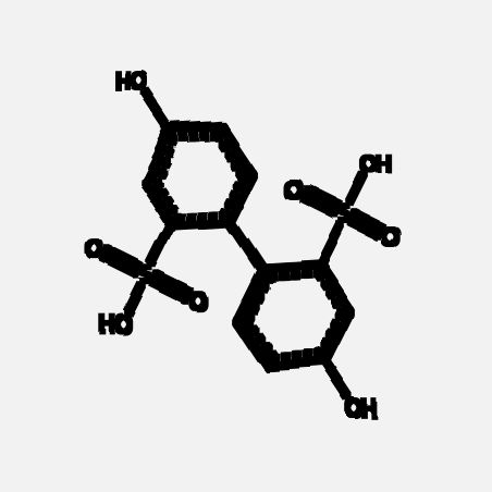 O=S(=O)(O)c1cc(O)ccc1-c1ccc(O)cc1S(=O)(=O)O